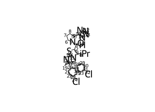 CC(C)C1=C(C(=O)N2CCC[C@H]2c2nnn[nH]2)SC2=N[C@@](C)(c3ccc(Cl)cc3)[C@@H](c3ccc(Cl)cc3)N21